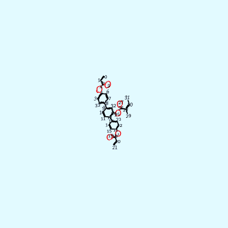 C=CC(=O)Oc1ccc(-c2ccc(-c3ccc(OC(=O)C=C)cc3)c(OC(=O)/C(C)=C\C)c2)cc1